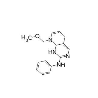 COCN1C=CCC2=CN=C(Nc3ccccc3)NC21